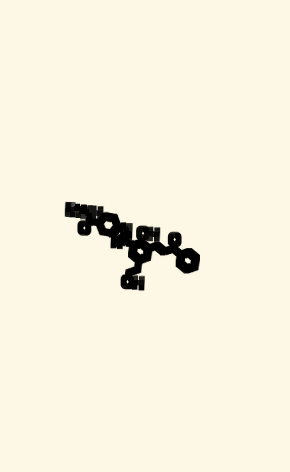 CCNC(=O)C1C=Cc2nn(-c3cc(CCO)cc(C=CC(=O)c4ccccc4)c3O)nc2C1